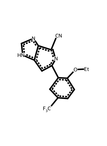 CCOc1ccc(C(F)(F)F)cc1-c1cc2[nH]cnc2c(C#N)n1